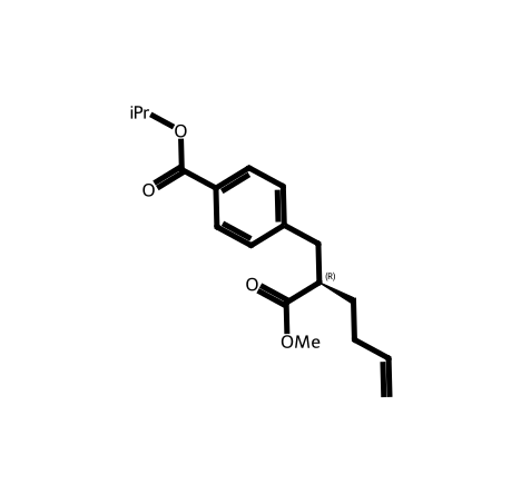 C=CCC[C@H](Cc1ccc(C(=O)OC(C)C)cc1)C(=O)OC